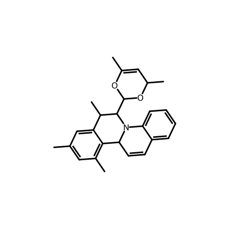 CC1=CC(C)OC(C2C(C)c3cc(C)cc(C)c3C3C=Cc4ccccc4N32)O1